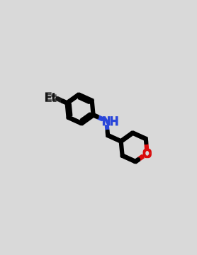 CCc1ccc(NCC2CCOCC2)cc1